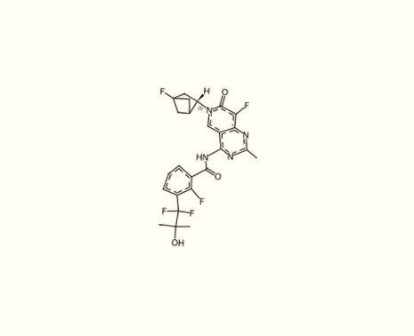 Cc1nc(NC(=O)c2cccc(C(F)(F)C(C)(C)O)c2F)c2cn([C@H]3CC4(F)CC3C4)c(=O)c(F)c2n1